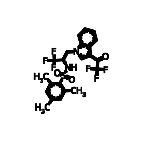 Cc1cc(C)c(S(=O)(=O)NC(Cn2cc(C(=O)C(F)(F)F)c3ccccc32)C(F)(F)F)c(C)c1